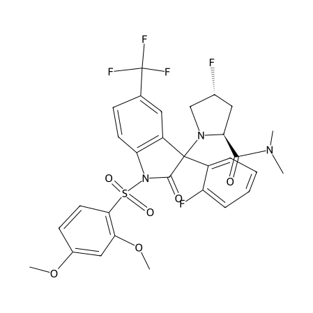 COc1ccc(S(=O)(=O)N2C(=O)C(c3ccccc3F)(N3C[C@H](F)C[C@H]3C(=O)N(C)C)c3cc(C(F)(F)F)ccc32)c(OC)c1